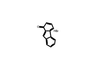 Br.O=C1C=CC=C2C1=Cc1ccccc12